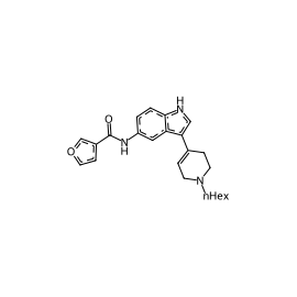 CCCCCCN1CC=C(c2c[nH]c3ccc(NC(=O)c4ccoc4)cc23)CC1